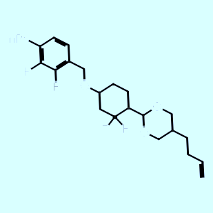 C=CCCC1COC(C2CCC(OCc3ccc(CCC)c(F)c3F)CC2(F)F)OC1